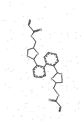 C=CC(=O)SCC1CSC(c2ccccc2-c2ccccc2C2SCC(CSC(=O)C=C)S2)S1